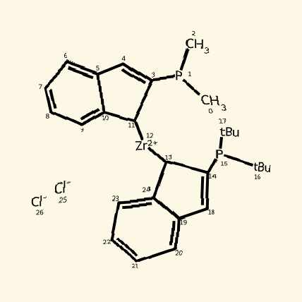 CP(C)C1=Cc2ccccc2[CH]1[Zr+2][CH]1C(P(C(C)(C)C)C(C)(C)C)=Cc2ccccc21.[Cl-].[Cl-]